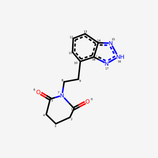 O=C1CCCC(=O)N1CCc1cccc2n[nH]nc12